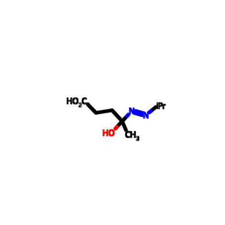 CC(C)N=NC(C)(O)CCC(=O)O